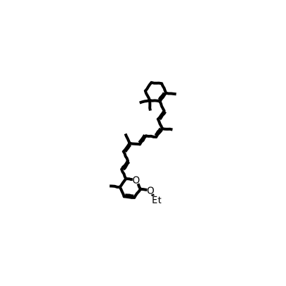 CCOC1C=CC(C)C(C=CC=C(C)C=CC=C(C)C=CC2=C(C)CCCC2(C)C)O1